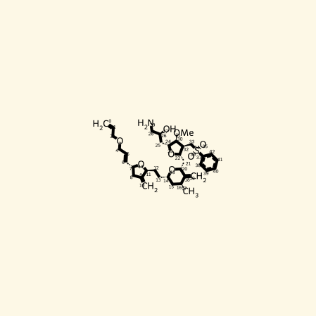 C=CCOCC=C[C@H]1CC(=C)[C@H](CC[C@H]2C[C@@H](C)C(=C)[C@@H](C[C@@H]3O[C@H](C[C@H](O)CN)[C@H](OC)[C@H]3CS(=O)(=O)c3ccccc3)O2)O1